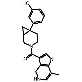 CC1=CNCc2c(C(=O)N3CCC4(c5cccc(O)c5)CC4C3)c[nH]c21